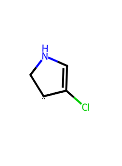 ClC1=CNC[C]1